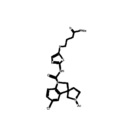 CNC(=O)CCCSc1cnc(NC(=O)N2CC3(CCN(C(C)=O)C3)c3cc(Cl)ccc32)s1